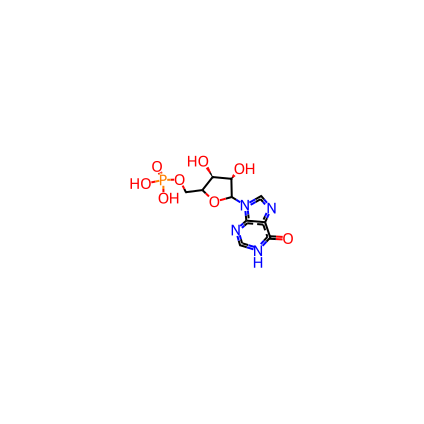 O=c1[nH]cnc2c1ncn2C1OC(COP(=O)(O)O)[C@@H](O)[C@H]1O